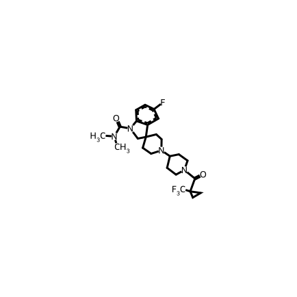 CN(C)C(=O)N1CC2(CCN(C3CCN(C(=O)C4(C(F)(F)F)CC4)CC3)CC2)c2cc(F)ccc21